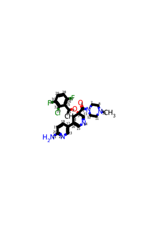 CC(OC1(C(=O)N2CCN(C)CC2)C=NC=C(c2ccc(N)nc2)C1)c1c(F)ccc(F)c1Cl